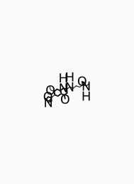 CNC(=O)CCCNc1cc(=O)c2cc(-c3cnco3)c(OC)cc2[nH]1